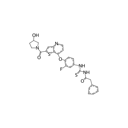 O=C(Cc1ccccc1)NC(=S)Nc1ccc(Oc2ccnc3cc(C(=O)N4CCC(O)C4)sc23)c(F)c1